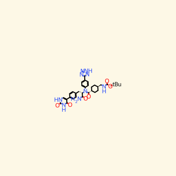 CC(C)(C)OC(=O)NC[C@H]1CC[C@H](C(=O)N(c2ccc(-c3nn[nH]n3)cc2)[C@@H](Cc2ccc(-c3c[nH]c(=O)[nH]c3=O)cc2)C(N)=O)CC1